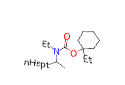 CCCCCCCC(C)N(CC)C(=O)OC1(CC)CCCCC1